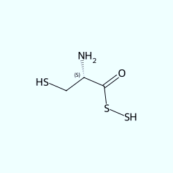 N[C@@H](CS)C(=O)SS